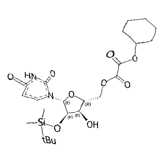 CC(C)(C)[Si](C)(C)O[C@@H]1[C@H](O)[C@@H](COC(=O)C(=O)OC2CCCCC2)O[C@H]1n1ccc(=O)[nH]c1=O